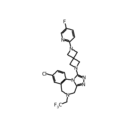 Fc1ccc(N2CC3(C2)CN(c2nnc4n2-c2ccc(Cl)cc2CN(CC(F)(F)F)C4)C3)nc1